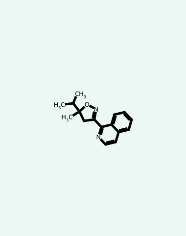 CC(C)C1(C)CC(c2nccc3ccccc23)=NO1